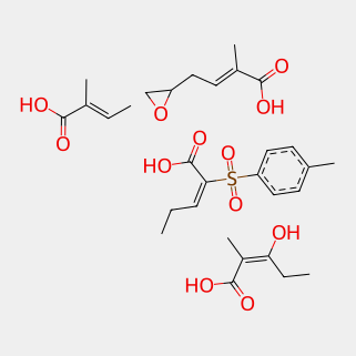 C/C(=C\CC1CO1)C(=O)O.C/C=C(\C)C(=O)O.CC/C(O)=C(/C)C(=O)O.CC/C=C(\C(=O)O)S(=O)(=O)c1ccc(C)cc1